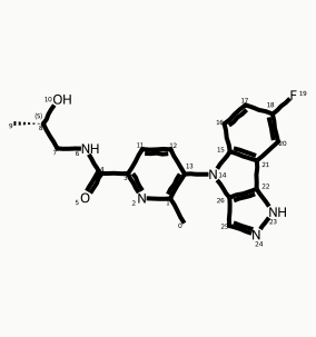 Cc1nc(C(=O)NC[C@H](C)O)ccc1-n1c2ccc(F)cc2c2[nH]ncc21